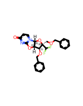 O=c1ccn2c(n1)O[C@@H]1[C@H]2O[C@@](COCc2ccccc2)(C(F)F)[C@H]1OCc1ccccc1